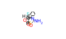 C[C@]1(c2ccccc2F)N=C(N)CS(=O)(=O)[C@H]2COC[C@@H]21